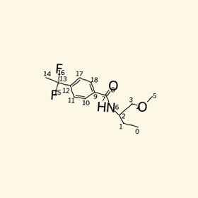 CCC(COC)NC(=O)c1ccc(C(C)(F)F)cc1